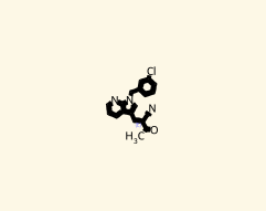 CC(=O)/C(C#N)=C/c1cn(Cc2cccc(Cl)c2)c2ncccc12